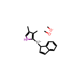 C[O-].C[O-].Cc1c[pH][c]([Ti+2][CH]2C=Cc3ccccc32)c1C